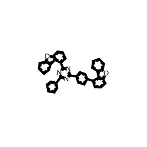 c1ccc(-c2nc(-c3ccc(-c4cccc5oc6ccccc6c45)cc3)nc(-c3cccc4oc5ccccc5c34)n2)cc1